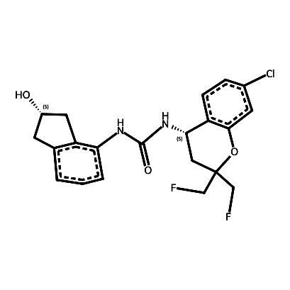 O=C(Nc1cccc2c1C[C@@H](O)C2)N[C@H]1CC(CF)(CF)Oc2cc(Cl)ccc21